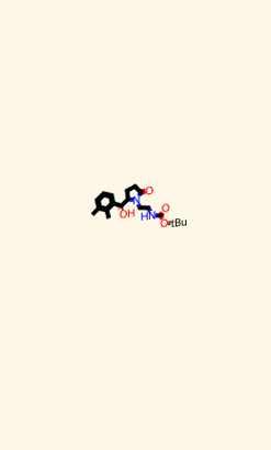 Cc1cccc([C@@H](O)C2CCC(=O)N2CCNC(=O)OC(C)(C)C)c1C